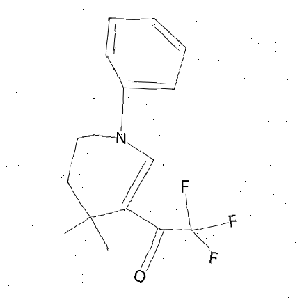 CC1(C)CCN(c2ccccc2)C=C1C(=O)C(F)(F)F